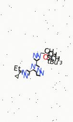 CC[C@H](C1CC1)n1cc(-c2nc(-c3cnn(CC(C)O[Si](C)(C)C(C)(C)C)c3)cn3nccc23)cn1